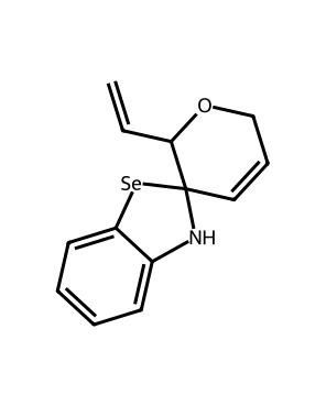 C=CC1OCC=CC12Nc1ccccc1[Se]2